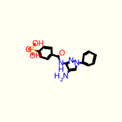 Nc1cn(-c2ccccc2)nc1NC(=O)c1ccc(P(=O)(O)O)cc1